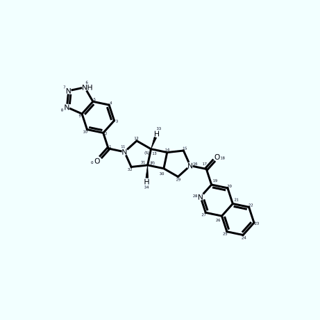 O=C(c1ccc2[nH]nnc2c1)N1C[C@@H]2C3CN(C(=O)c4cc5ccccc5cn4)CC3[C@@H]2C1